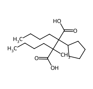 CCCCC(C)(C(=O)O)C(CCCC)(C(=O)O)C1CCCC1